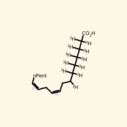 [2H]C(C/C=C\C/C=C\CCCCC)C([2H])([2H])C([2H])([2H])C([2H])([2H])C([2H])([2H])C([2H])([2H])C(=O)O